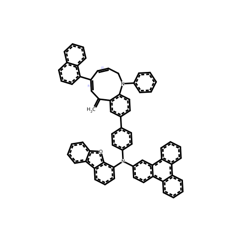 C=C1/C=C(c2cccc3ccccc23)\C=C/CN(c2ccccc2)c2ccc(-c3ccc(N(c4ccc5c6ccccc6c6ccccc6c5c4)c4cccc5c4oc4ccccc45)cc3)cc21